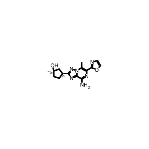 Cc1c(-c2ncco2)nc(N)c2nc([C@H]3CC[C@@](C)(O)C3)nn12